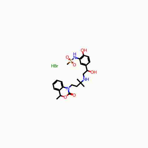 Br.CC1OC(=O)N(CCC(C)(C)NCC(O)c2ccc(O)c(NS(C)(=O)=O)c2)c2ccccc21